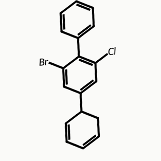 Clc1cc(C2C=CC=CC2)cc(Br)c1-c1ccccc1